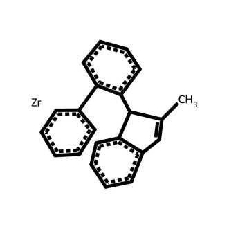 CC1=Cc2ccccc2C1c1ccccc1-c1ccccc1.[Zr]